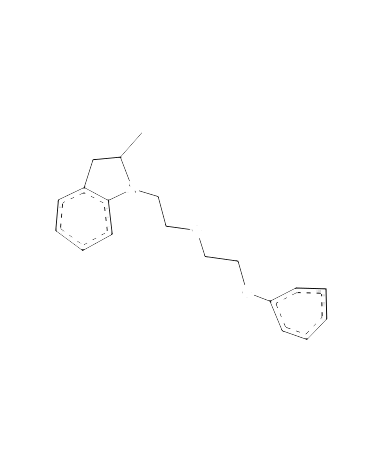 CC1Cc2ccccc2N1CCOCCOc1ccccc1